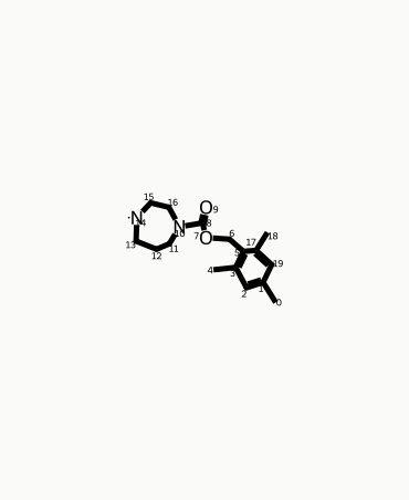 Cc1cc(C)c(COC(=O)N2CCC[N]CC2)c(C)c1